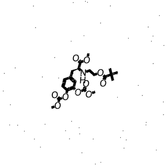 COC(=O)Oc1ccc(C[C@H](NCCOC(=O)C(C)(C)C)C(=O)OC)cc1OC(=O)OC